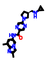 Cc1cn2cc(NC(=O)c3cnc(N4CC[C@H](CNC5CC5)C4)cn3)cc(C)c2n1